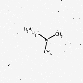 [AlH3].[CH3][In]([CH3])[CH3]